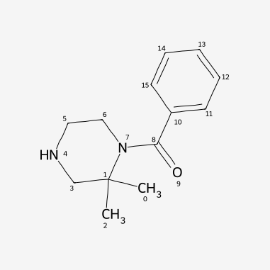 CC1(C)CNCCN1C(=O)c1ccccc1